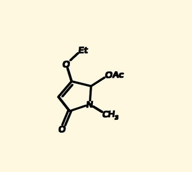 CCOC1=CC(=O)N(C)C1OC(C)=O